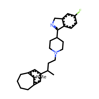 CNc1c2cc(C(C)CCN3CCC(C4=NCc5cc(F)ccc54)CC3)cc1CCCC2